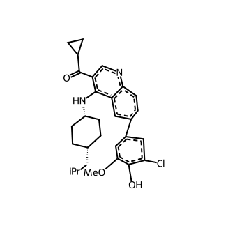 COc1cc(-c2ccc3ncc(C(=O)C4CC4)c(N[C@H]4CC[C@@H](CC(C)C)CC4)c3c2)cc(Cl)c1O